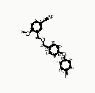 COc1ccc(C#N)cc1COCc1ccc(Oc2ccc(F)cc2)cc1